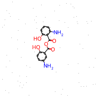 Nc1ccc(O)c(C(=O)OC(=O)c2c(N)cccc2O)c1